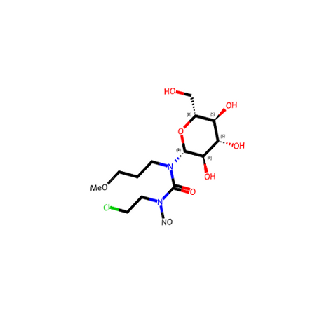 COCCCN(C(=O)N(CCCl)N=O)[C@@H]1O[C@H](CO)[C@@H](O)[C@H](O)[C@H]1O